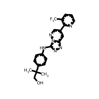 CC(C)(CO)c1ccc(Nc2nnc3cc(-c4ncccc4C(F)(F)F)cnn23)cc1